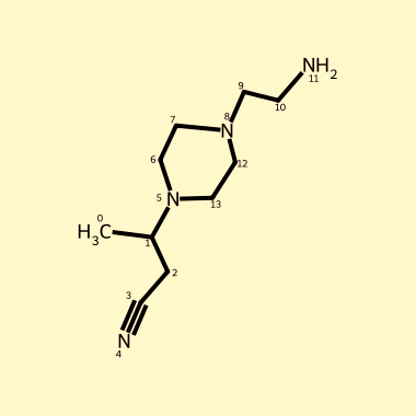 CC(CC#N)N1CCN(CCN)CC1